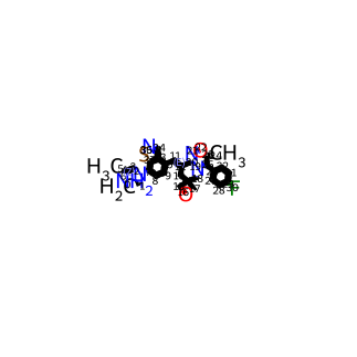 C=CN(/C=C(/C)N)c1ccc(/C=C2\CC3(COC3)CN3C2=NOC(C)C3c2ccc(F)cc2)c2cnsc12